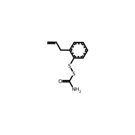 C=CCc1ccccc1SSC(N)=O